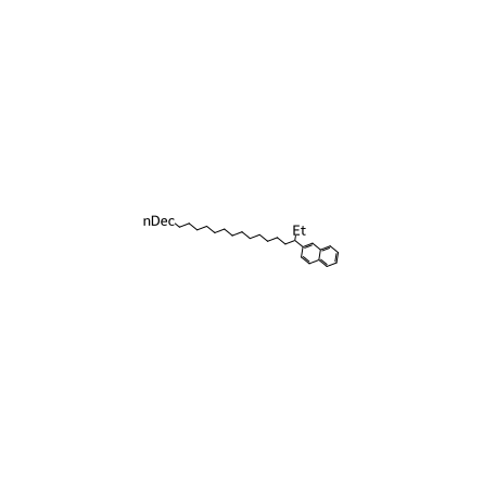 CCCCCCCCCCCCCCCCCCCCCCCC(CC)c1ccc2ccccc2c1